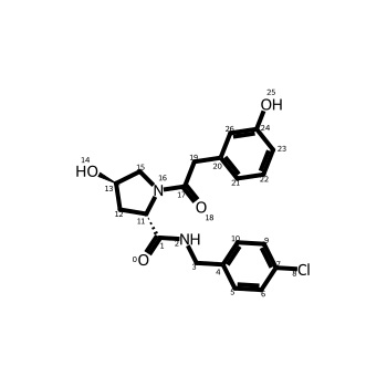 O=C(NCc1ccc(Cl)cc1)[C@@H]1C[C@@H](O)CN1C(=O)Cc1cccc(O)c1